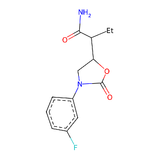 CCC(C(N)=O)C1CN(c2cccc(F)c2)C(=O)O1